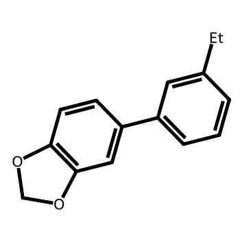 CCc1cccc(-c2ccc3c(c2)OCO3)c1